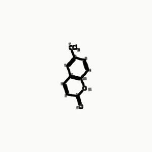 O=c1ccc2cc(C(Cl)(Cl)Cl)ccc2o1